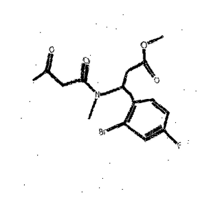 COC(=O)CC(c1ccc(F)cc1Br)N(C)C(=O)CC(C)=O